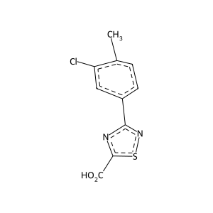 Cc1ccc(-c2nsc(C(=O)O)n2)cc1Cl